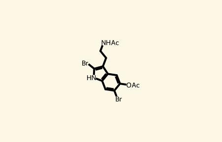 CC(=O)NCCc1c(Br)[nH]c2cc(Br)c(OC(C)=O)cc12